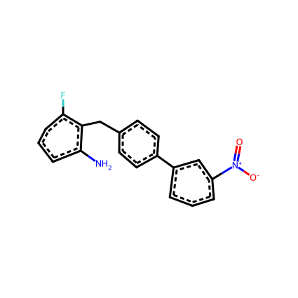 Nc1cccc(F)c1Cc1ccc(-c2cccc([N+](=O)[O-])c2)cc1